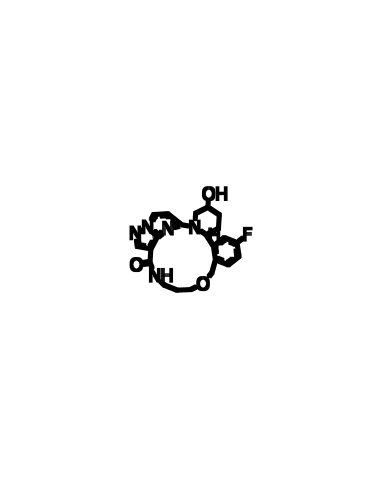 O=C1NCCCOCc2ccc(F)cc2[C@H]2CCC(O)CN2c2ccn3ncc1c3n2